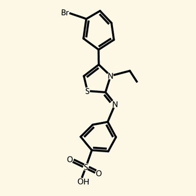 CCn1c(-c2cccc(Br)c2)cs/c1=N\c1ccc(S(=O)(=O)O)cc1